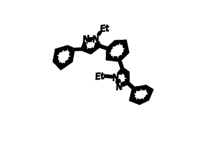 CCn1nc(-c2ccccc2)cc1-c1cccc(-c2cc(-c3ccccc3)nn2CC)c1